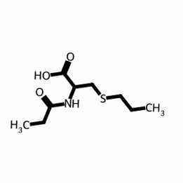 CCCSCC(NC(=O)CC)C(=O)O